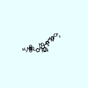 NS(=O)(=O)OC[C@@H]1CC[C@H](Nc2ncncc2C(=O)c2cc(Cn3cc(C(F)(F)F)cn3)cs2)C1